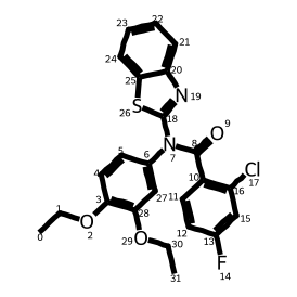 CCOc1ccc(N(C(=O)c2ccc(F)cc2Cl)c2nc3ccccc3s2)cc1OCC